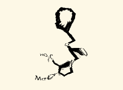 CO[C@H]1CCN(C(=O)OCc2ccccc2)[C@@H]1C(=O)O